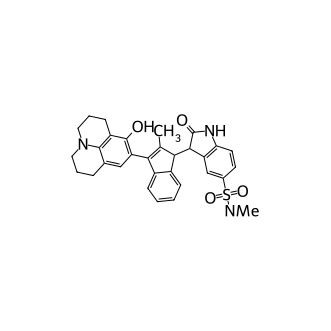 CNS(=O)(=O)c1ccc2c(c1)C(C1C(C)=C(c3cc4c5c(c3O)CCCN5CCC4)c3ccccc31)C(=O)N2